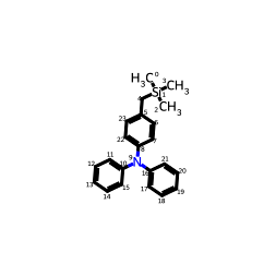 C[Si](C)(C)Cc1ccc(N(c2ccccc2)c2ccccc2)cc1